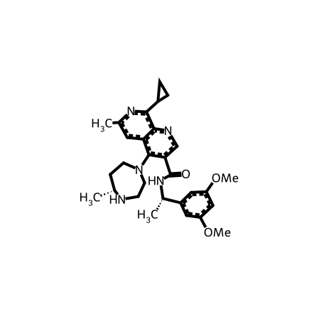 COc1cc(OC)cc([C@H](C)NC(=O)c2cnc3c(C4CC4)nc(C)cc3c2N2CCN[C@H](C)CC2)c1